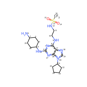 NC1CCC(Nc2nc(NCCNS(=O)(=O)C(F)(F)F)c3ncn(C4CCCC4)c3n2)CC1